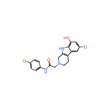 O=C(CN1CCc2c([nH]c3c(O)cc(Cl)cc23)C1)Nc1ccc(Cl)cc1